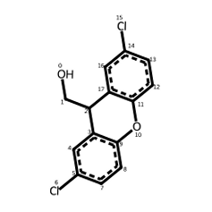 OCC1c2cc(Cl)ccc2Oc2ccc(Cl)cc21